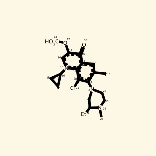 CCC1CN(c2c(F)cc3c(=O)c(OC(=O)O)cn(C4CC4)c3c2Cl)CCN1C